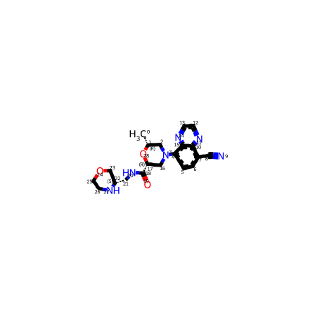 C[C@@H]1CN(c2ccc(C#N)c3nccnc23)C[C@H](C(=O)NC[C@H]2COCCN2)O1